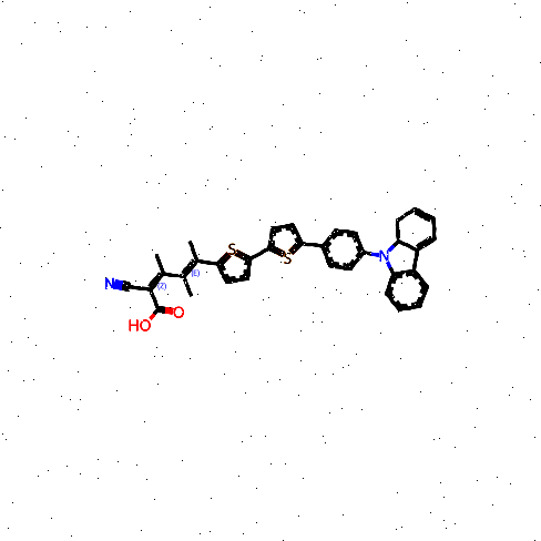 CC(=C(\C#N)C(=O)O)/C(C)=C(\C)c1ccc(-c2ccc(-c3ccc(N4c5ccccc5C5=CC=CCC54)cc3)s2)s1